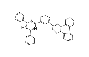 C1=CC2c3ccccc3C3=C(CCCC3)C2C=C1C1=CCCC(C2=NC(c3ccccc3)NC(c3ccccc3)=N2)=C1